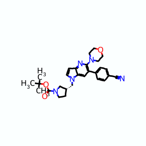 CC(C)(C)OC(=O)N1CC[C@@H](Cn2ccc3nc(N4CCOCC4)c(-c4ccc(C#N)cc4)cc32)C1